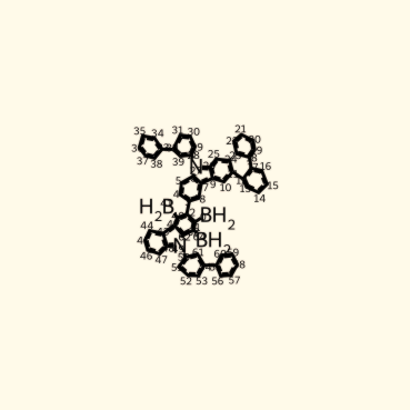 Bc1c(-c2ccc3c(c2)c2cc(-c4ccccc4-c4ccccc4)ccc2n3-c2cccc(-c3ccccc3)c2)c(B)c2c3ccccc3n(-c3cccc(-c4ccccc4)c3)c2c1B